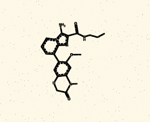 CCCNC(=O)c1nc2c(-c3cc4c(cc3OC)N(C)C(=O)CO4)cccn2c1N